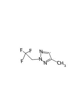 Cc1[c]nn(CC(F)(F)F)n1